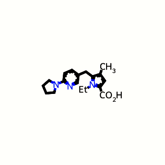 CCn1c(C(=O)O)cc(C)c1Cc1ccc(N2CCCC2)nc1